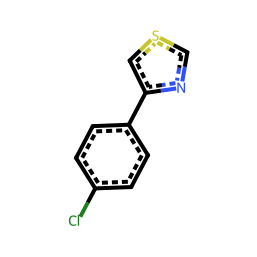 Clc1ccc(-c2cscn2)cc1